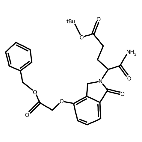 CC(C)(C)OC(=O)CCC(C(N)=O)N1Cc2c(OCC(=O)OCc3ccccc3)cccc2C1=O